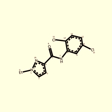 CCn1ccc(C(=O)Nc2cc(Cl)ccc2Cl)n1